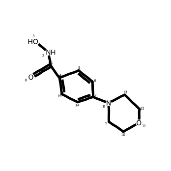 O=C(NO)c1ccc(N2CCOCC2)cc1